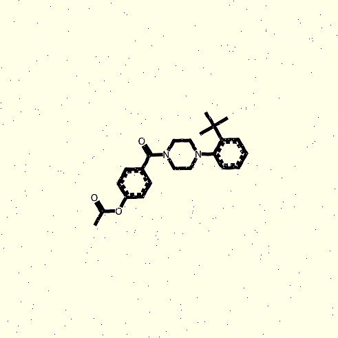 CC(=O)Oc1ccc(C(=O)N2CCN(c3ccccc3C(C)(C)C)CC2)cc1